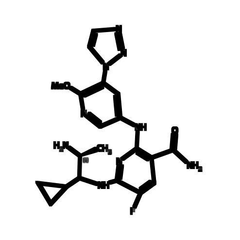 COc1ncc(Nc2nc(NC(C3CC3)[C@H](C)N)c(F)cc2C(N)=O)cc1-n1ccnn1